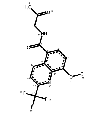 COc1ccc(C(=O)NCC(C)=O)c2ccc(C(F)(F)F)nc12